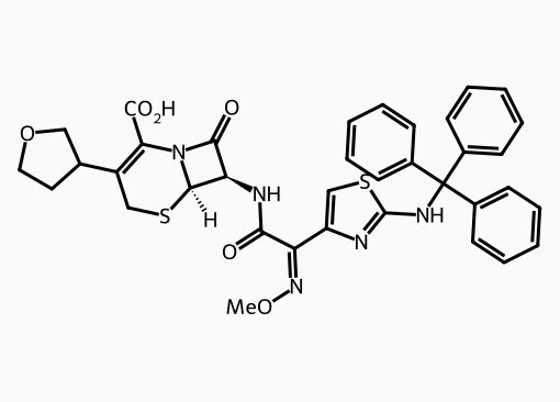 CO/N=C(\C(=O)N[C@@H]1C(=O)N2C(C(=O)O)=C(C3CCOC3)CS[C@H]12)c1csc(NC(c2ccccc2)(c2ccccc2)c2ccccc2)n1